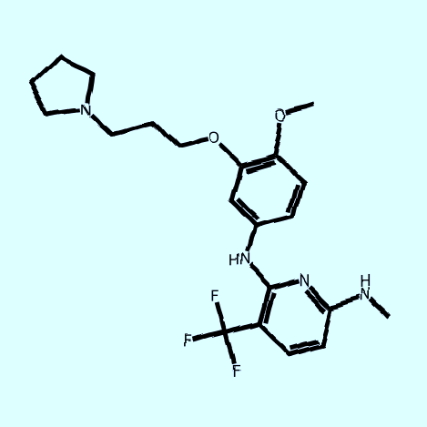 CNc1ccc(C(F)(F)F)c(Nc2ccc(OC)c(OCCCN3CCCC3)c2)n1